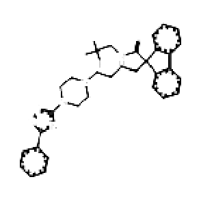 O=C(NCC(F)(F)F)C1(CCCCN2CCN(c3nc(-c4ccccc4)ns3)CC2)c2ccccc2-c2ccccc21